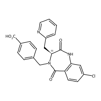 O=C(O)c1ccc(CN2C(=O)c3ccc(Cl)cc3NC(=O)[C@@H]2Cc2ccccn2)cc1